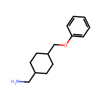 NCC1CCC(COc2ccccc2)CC1